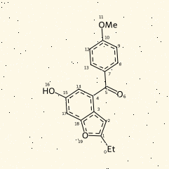 CCc1cc2c(C(=O)c3ccc(OC)cc3)cc(O)cc2o1